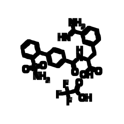 N=C(N)c1cccc(C[C@H](NC(=O)c2ccc(-c3ccccc3S(N)(=O)=O)cc2)C(=O)O)c1.O=C(O)C(F)(F)F